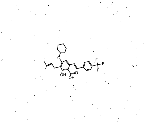 CC(C)=CCc1c(OC2CCCCC2)cc(C=Cc2ccc(C(F)(F)F)cc2)c(C(=O)O)c1O